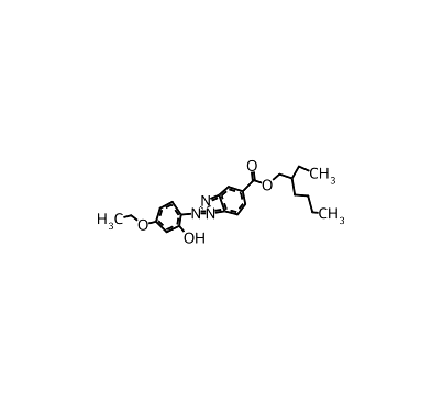 CCCCC(CC)COC(=O)c1ccc2c(c1)n1n(-c3ccc(OCC)cc3O)n21